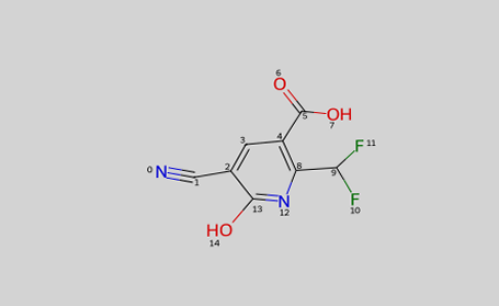 N#Cc1cc(C(=O)O)c(C(F)F)nc1O